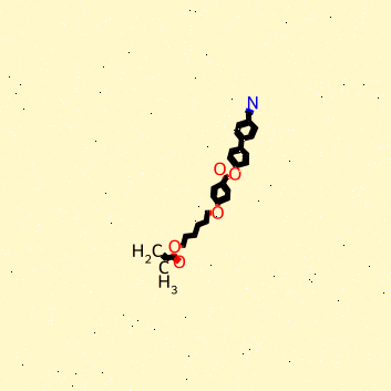 C=C(C)C(=O)OCCCCCCOc1ccc(C(=O)Oc2ccc(-c3ccc(C#N)cc3)cc2)cc1